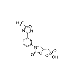 Cc1nc(-c2cccc(N3CC(CS(=O)(=O)O)OC3=O)c2)no1